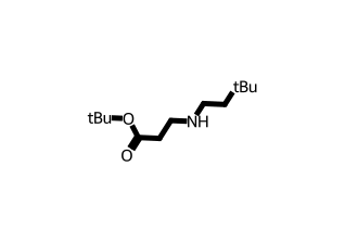 CC(C)(C)CCNCCC(=O)OC(C)(C)C